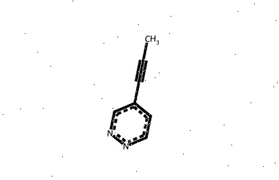 CC#Cc1ccnnc1